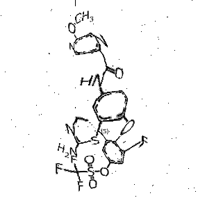 COc1cnc(C(=O)Nc2ccc3c(c2)[C@@]2(CCN=C(N)S2)c2cc(OS(=O)(=O)C(F)(F)F)cc(F)c2O3)cn1